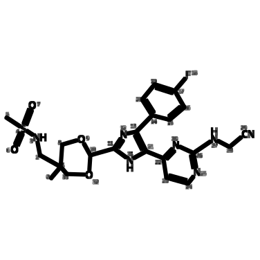 CC1(CNS(C)(=O)=O)COC(c2nc(-c3ccc(F)cc3)c(-c3ccnc(NCC#N)n3)[nH]2)OC1